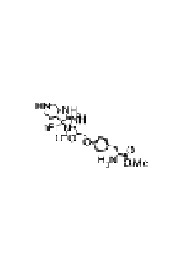 CCCC(C(=N)N)(C1CCNCC1)N1CC(COc2ccc(CC(N)C(=O)OC)cc2)OC1=O